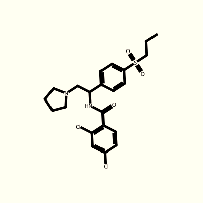 CCCS(=O)(=O)c1ccc(C(CN2CCCC2)NC(=O)c2ccc(Cl)cc2Cl)cc1